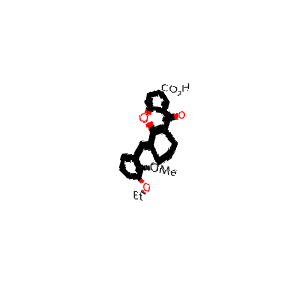 CCOc1cccc(C=C2CCCc3c2oc2ccc(C(=O)O)cc2c3=O)c1OC